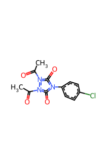 CC(=O)n1c(=O)n(-c2ccc(Cl)cc2)c(=O)n1C(C)=O